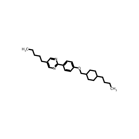 CCCCCc1cnc(-c2ccc(OCC3CCC(CCCC)CC3)cc2)nc1